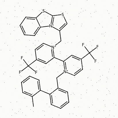 Cc1ccccc1-c1ccccc1C[n+]1ccc(C(F)(F)F)cc1-c1cc(C(F)(F)F)cc[n+]1Cc1csc2sc3ccccc3[n+]12